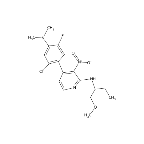 CCC(COC)Nc1nccc(-c2cc(F)c(N(C)C)cc2Cl)c1[N+](=O)[O-]